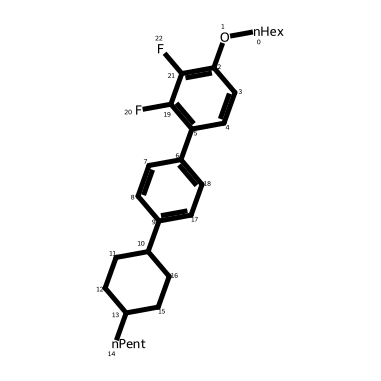 CCCCCCOc1ccc(-c2ccc(C3CCC(CCCCC)CC3)cc2)c(F)c1F